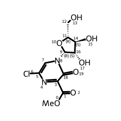 COC(=O)c1nc(Cl)cn([C@@H]2O[C@H](CO)[C@@H](O)[C@@H]2O)c1=O